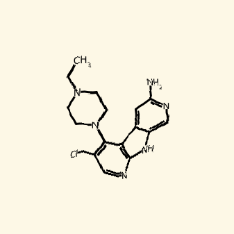 CCN1CCN(c2c(Cl)cnc3[nH]c4cnc(N)cc4c23)CC1